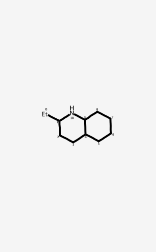 CCC1CCC2CCCCC2N1